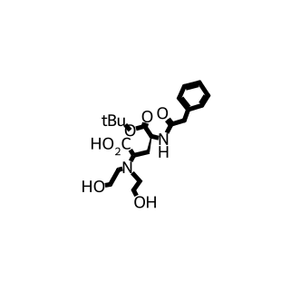 CC(C)(C)OC(=O)[C@H](CC(C(=O)O)N(CCO)CCO)NC(=O)Cc1ccccc1